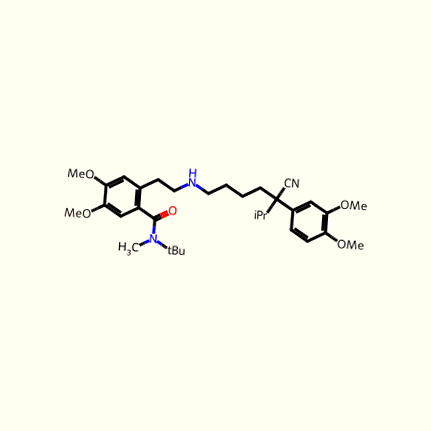 COc1ccc(C(C#N)(CCCCNCCc2cc(OC)c(OC)cc2C(=O)N(C)C(C)(C)C)C(C)C)cc1OC